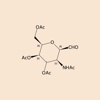 CC(=O)N[C@H]1[C](OC(C)=O)[C@@H](OC(C)=O)[C@@H](COC(C)=O)O[C@H]1C=O